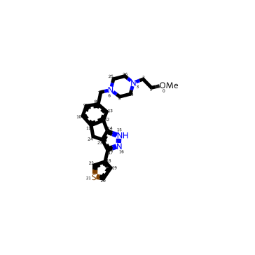 COCCN1CCN(Cc2ccc3c(c2)-c2[nH]nc(-c4ccsc4)c2C3)CC1